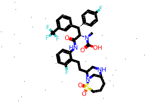 CN(C(=O)O)[C@H](C(=O)Nc1cccc(F)c1CCC1CNC2CCCS(=O)(=O)N1C2)[C@@H](c1ccc(F)cc1)c1cccc(C(F)(F)F)c1